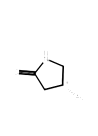 CC(=O)[C@H]1CNC(=S)C1